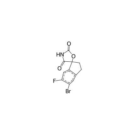 O=C1NC(=O)C2(CCc3cc(Br)c(F)cc32)O1